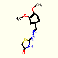 COc1ccc(/C=N/N=C2/NC(=O)CS2)cc1OC